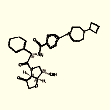 O=C(N[C@H](C(=O)N1C[C@H](O)[C@H]2OCC(=O)[C@H]21)C1CCCCC1)c1ccc(N2CCN(C3CCC3)CC2)cc1